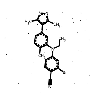 CCN(c1ccc(C#N)c(Br)c1)c1cc(-c2c(C)noc2C)ccc1C